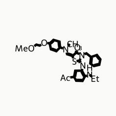 CCNc1ccc(C(C)=O)cc1N=C1SC(=CN(C)c2ccc(OCCOC)cc2)C(=O)N1Cc1ccccc1